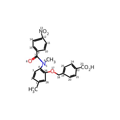 Cc1ccc(N(C)C(=O)c2ccc([N+](=O)[O-])cc2)c(OCc2ccc(C(=O)O)cc2)c1